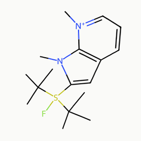 Cn1c(S(F)(C(C)(C)C)C(C)(C)C)cc2ccc[n+](C)c21